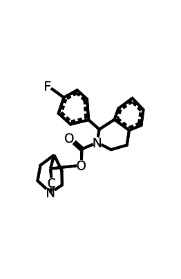 O=C(OC1CN2CCC1CC2)N1CCc2ccccc2C1c1ccc(F)cc1